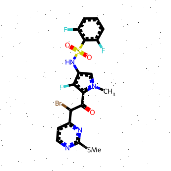 CSc1nccc(C(Br)C(=O)c2c(F)c(NS(=O)(=O)c3c(F)cccc3F)cn2C)n1